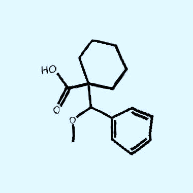 COC(c1ccccc1)C1(C(=O)O)CCCCC1